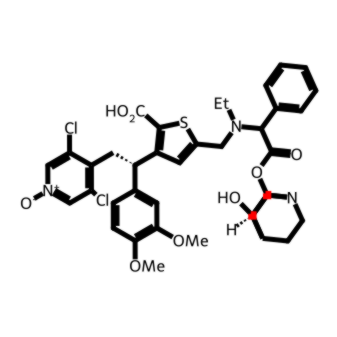 CCN(Cc1cc([C@@H](Cc2c(Cl)c[n+]([O-])cc2Cl)c2ccc(OC)c(OC)c2)c(C(=O)O)s1)C(C(=O)OC1[C@H](O)C2CCN1CC2)c1ccccc1